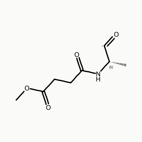 COC(=O)CCC(=O)N[C@@H](C)[C]=O